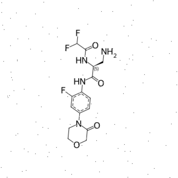 NC[C@H](NC(=O)C(F)F)C(=O)Nc1ccc(N2CCOCC2=O)cc1F